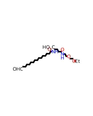 CCOCCOCCNC(=O)CC[C@H](NC(=O)CCCCCCCCCCCCCCC=O)C(=O)O